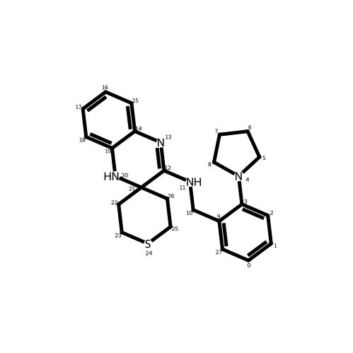 c1ccc(N2CCCC2)c(CNC2=Nc3ccccc3NC23CCSCC3)c1